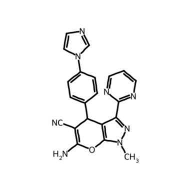 Cn1nc(-c2ncccn2)c2c1OC(N)=C(C#N)C2c1ccc(-n2ccnc2)cc1